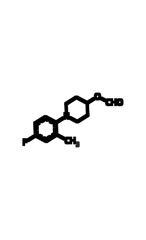 Cc1cc(F)ccc1N1CCC(OC=O)CC1